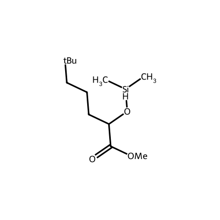 COC(=O)C(CCCC(C)(C)C)O[SiH](C)C